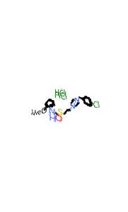 COc1ccccc1NC(=O)SCCCN1CCN(Cc2ccc(Cl)cc2)CC1.Cl.Cl